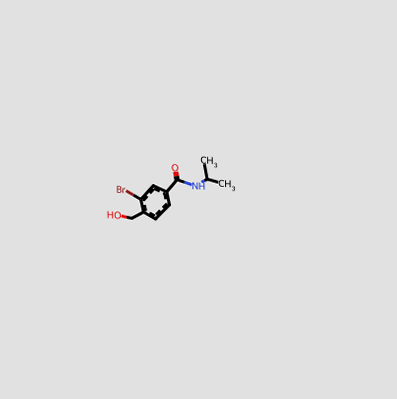 CC(C)NC(=O)c1ccc(CO)c(Br)c1